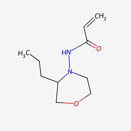 C=CC(=O)NN1CCOCC1CCC